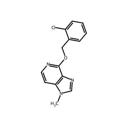 Cn1cnc2c(OCc3ccccc3Cl)nccc21